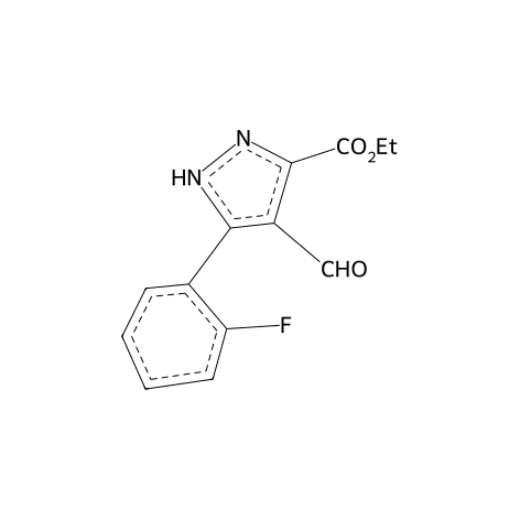 CCOC(=O)c1n[nH]c(-c2ccccc2F)c1C=O